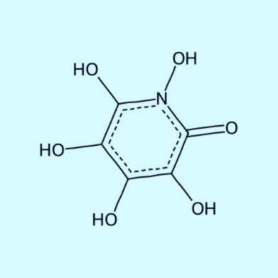 O=c1c(O)c(O)c(O)c(O)n1O